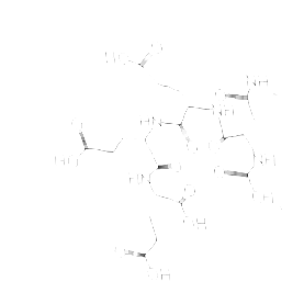 CC(=O)N[C@@H](CC(N)=O)C(=O)N[C@@H](CCC(=O)O)C(=O)N[C@@H](CCC(=O)O)C(=O)N[C@@H](CCC(=O)O)C(=O)O